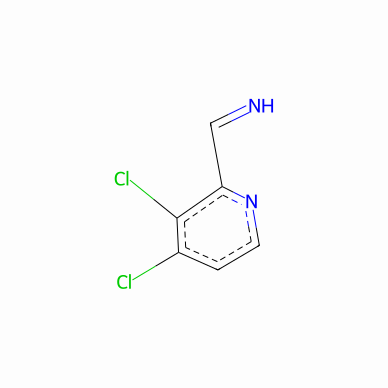 N=Cc1nccc(Cl)c1Cl